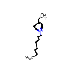 CCCCCCCC[n+]1ccc(CC)cc1